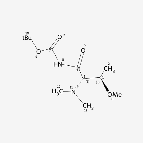 CO[C@H](C)[C@@H](C(=O)NC(=O)OC(C)(C)C)N(C)C